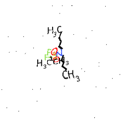 CCCCCCN(CCCCCC)S(=O)(=O)C(F)(F)C(C)C